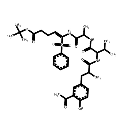 CC(=O)c1cc(CC(N)C(=O)NC(C(=O)NC(C)C(=O)NC(=CCCC(=O)OC(C)(C)C)S(=O)(=O)c2ccccc2)C(C)C)ccc1O